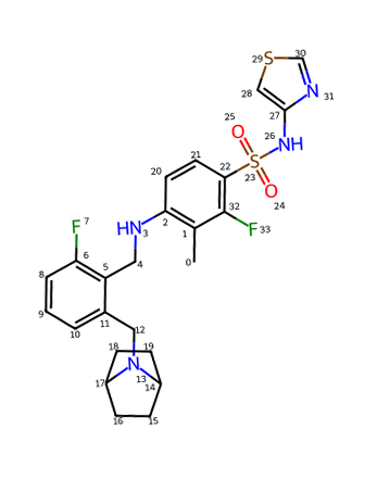 Cc1c(NCc2c(F)cccc2CN2C3CCC2CC3)ccc(S(=O)(=O)Nc2cscn2)c1F